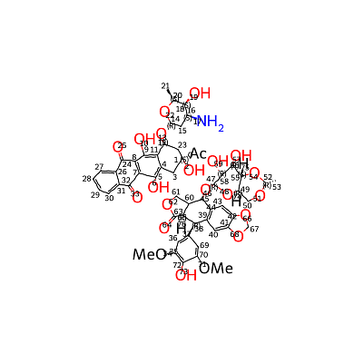 CC(=O)[C@]1(O)Cc2c(O)c3c(c(O)c2[C@@H](O[C@H]2C[C@H](N)[C@H](O)[C@H](C)O2)C1)C(=O)c1ccccc1C3=O.COc1cc([C@@H]2c3cc4c(cc3C(O[C@@H]3O[C@@H]5CO[C@@H](C)O[C@H]5[C@H](O)[C@H]3O)C3COC(=O)[C@@H]32)OCO4)cc(OC)c1O